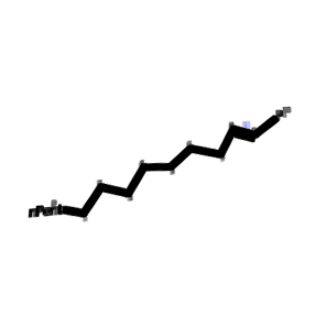 CCCCCCCCCCCC/C=C/[P]